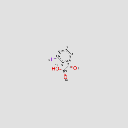 Ic1ccccc1.O=CC(=O)O